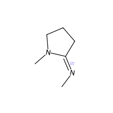 C/N=C1/CCCN1C